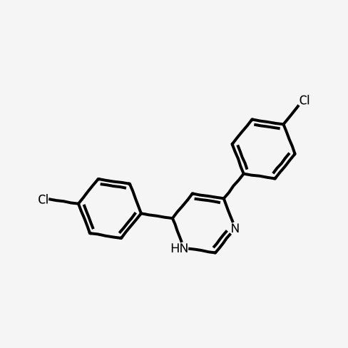 Clc1ccc(C2=CC(c3ccc(Cl)cc3)NC=N2)cc1